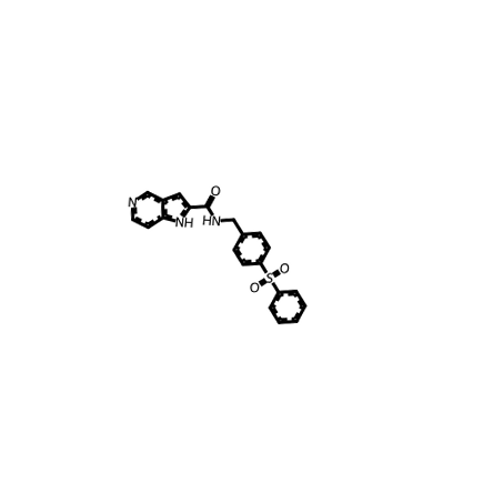 O=C(NCc1ccc(S(=O)(=O)c2ccccc2)cc1)c1cc2cnccc2[nH]1